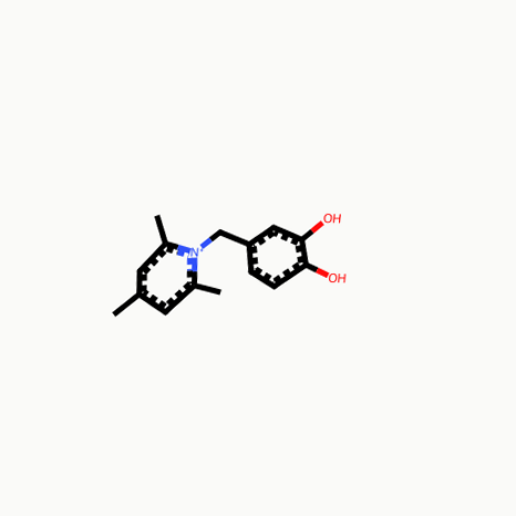 Cc1cc(C)[n+](Cc2ccc(O)c(O)c2)c(C)c1